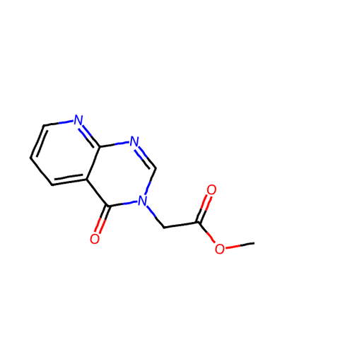 COC(=O)Cn1cnc2ncccc2c1=O